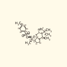 CCCC(C)(C)C1CC[C@@]2(C)C(CCC2[C@H](C)COS(=O)(=O)c2ccc(C)cc2)C1C